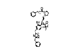 O=C(OCc1ccccc1)N1CCC[C@@H]1C=CCN(C(=O)C(F)(F)F)c1ccc(Cc2nc(Cc3ccccc3)no2)cc1Br